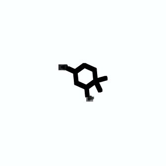 CC(C)C1CC(O)CCC1(C)C